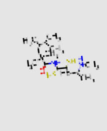 CNC(C)BC(S)C(S)NC(=O)C(C)(C)CC(C)C(C)C